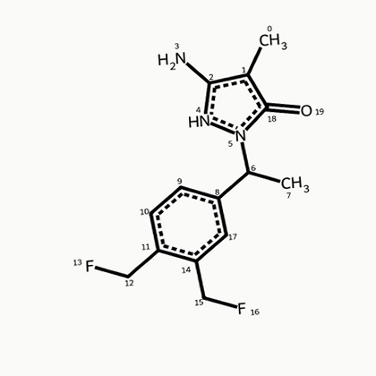 Cc1c(N)[nH]n(C(C)c2ccc(CF)c(CF)c2)c1=O